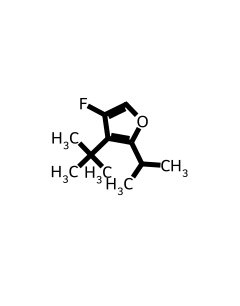 CC(C)c1occ(F)c1C(C)(C)C